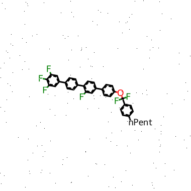 CCCCCc1ccc(C(F)(F)Oc2ccc(-c3ccc(-c4ccc(-c5cc(F)c(F)c(F)c5)cc4)c(F)c3)cc2)cc1